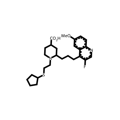 COc1ccc2ncc(F)c(CCCC3CC(C(=O)O)CCN3CCSC3CCCC3)c2c1